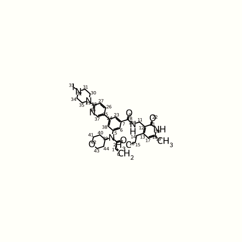 C=CC(=O)N(c1cc(C(=O)NCc2c(CCC)cc(C)[nH]c2=O)cc(-c2ccc(N3CCN(I)CC3)nc2)c1)C1CCOCC1